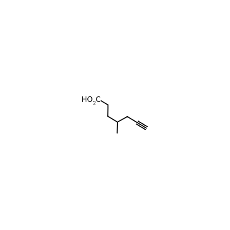 C#CCC(C)CCC(=O)O